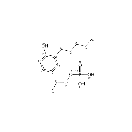 CCCCCc1ccccc1O.CCOOP(=O)(O)O